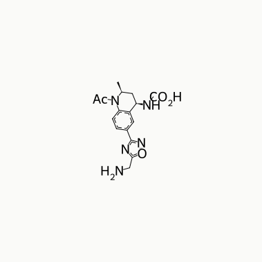 CC(=O)N1c2ccc(-c3noc(CN)n3)cc2[C@H](NC(=O)O)C[C@@H]1C